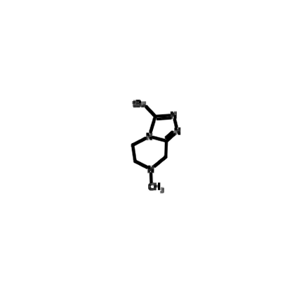 CN1CCn2c(nnc2C(C)(C)C)C1